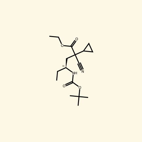 CCOC(=O)C(C#N)(C[C@H](CC)NC(=O)OC(C)(C)C)C1CC1